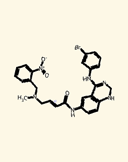 CN(C/C=C/C(=O)Nc1ccc2c(c1)C(Nc1cccc(Br)c1)=NCN2)Cc1ccccc1[N+](=O)[O-]